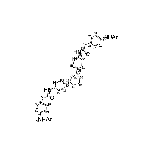 CC(=O)Nc1ccc(CC(=O)Nc2ccc([C@H]3CCC[C@H](c4ccc(NC(=O)Cc5ccc(NC(C)=O)cc5)nn4)C3)nn2)cc1